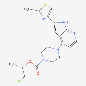 Cc1nc(-c2cc3c(N4CCN(C(=O)O[C@@H](C)CF)CC4)ccnc3[nH]2)cs1